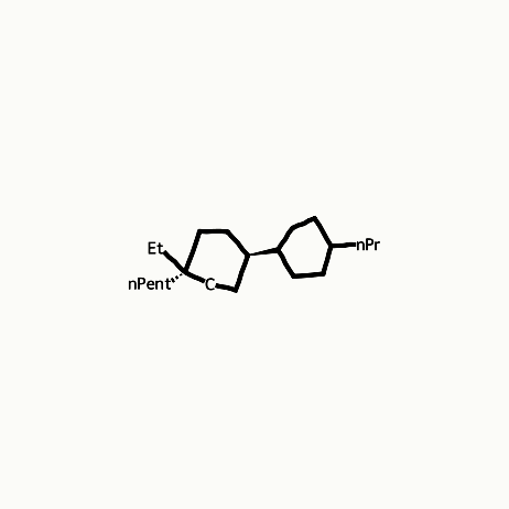 CCCCC[C@]1(CC)CC[C@@H](C2CCC(CCC)CC2)CC1